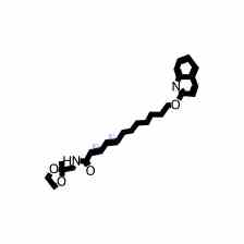 CC1(CNC(=O)/C=C/C=C/CCCCCCCOc2ccc3ccccc3n2)OCCO1